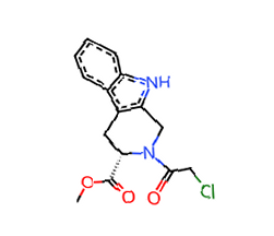 COC(=O)[C@@H]1Cc2c([nH]c3ccccc23)CN1C(=O)CCl